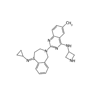 Cc1ccc2nc(N3CCS(=NC4CC4)c4ccccc4C3)nc(NC3CNC3)c2c1